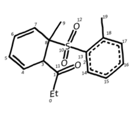 CCC(=O)C1C=CC=CC1(C)S(=O)(=O)c1ccccc1C